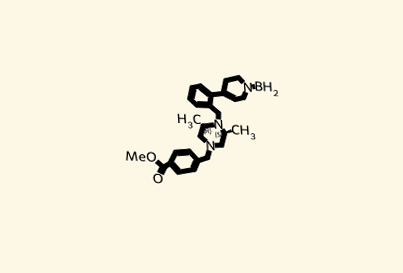 BN1CC=C(c2ccccc2CN2[C@H](C)CN(Cc3ccc(C(=O)OC)cc3)C[C@@H]2C)CC1